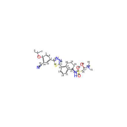 CC(C)Oc1ccc(-c2nnc(-c3cccc4c3CCC[C@H]4NS(=O)(=O)CC(=O)N(C)C)s2)cc1C#N